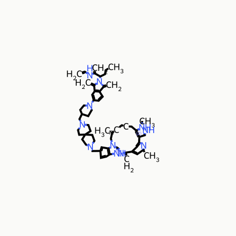 C=CNC(=C)C(CCC)n1c(=C)c2ccc(N3CCC(CN4CCC5(CCN(Cc6ccc7c(c6)N6C[C@H](C)CCCC/C(NC)=C(/C=N)c8cc(cc(C)n8)C(=C)/N=C/6N7)CC5)CC4)CC3)cc2c1=C